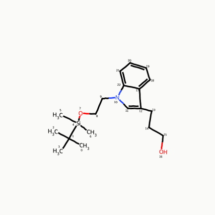 CC(C)(C)[Si](C)(C)OCCn1cc(CCCO)c2ccccc21